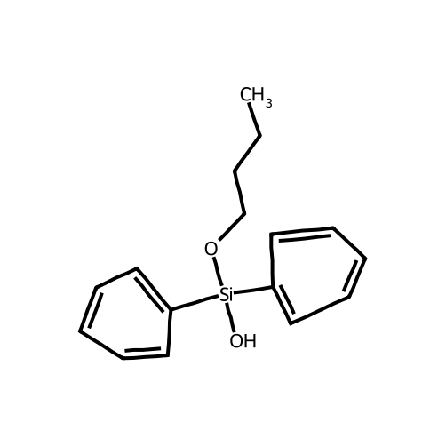 CCCCO[Si](O)(c1ccccc1)c1ccccc1